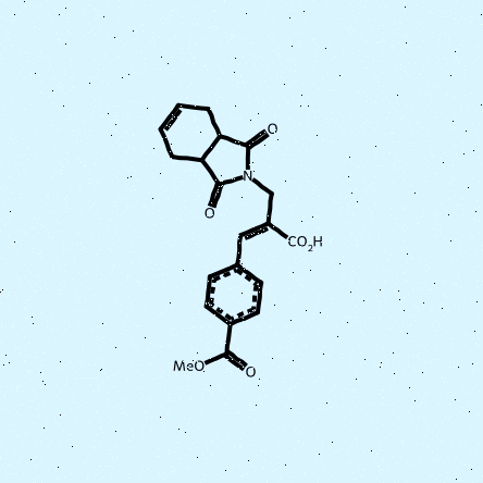 COC(=O)c1ccc(C=C(CN2C(=O)C3CC=CCC3C2=O)C(=O)O)cc1